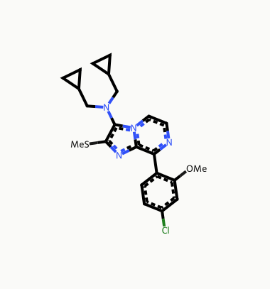 COc1cc(Cl)ccc1-c1nccn2c(N(CC3CC3)CC3CC3)c(SC)nc12